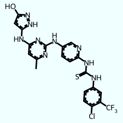 Cc1cc(Nc2cc(O)n[nH]2)nc(Nc2ccc(NC(=S)Nc3ccc(Cl)c(C(F)(F)F)c3)nc2)n1